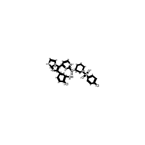 O=S(=O)(c1ccc(Cl)cc1)N1CCC[C@@H](Nc2nccc(-c3c(-c4ccc(Cl)c(O)c4)nc4sccn34)n2)C1